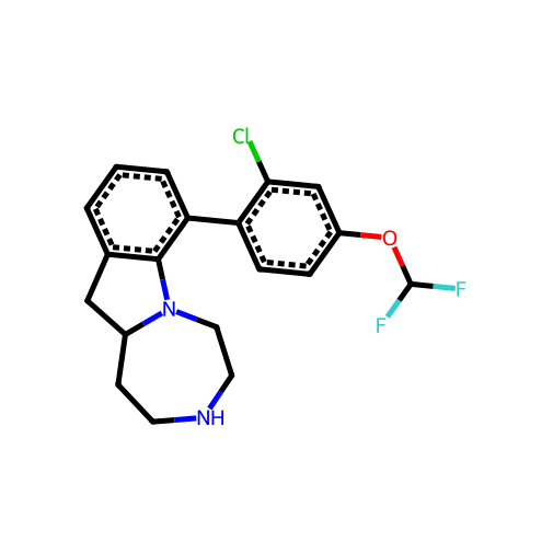 FC(F)Oc1ccc(-c2cccc3c2N2CCNCCC2C3)c(Cl)c1